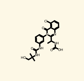 CC(NC(=O)O)c1nc2cccc(Cl)c2c(=O)n1-c1cccc(NC(=O)NC(C)(C)CO)c1